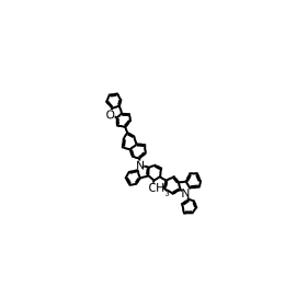 CC1c2c(n(-c3ccc4cc(-c5ccc6c(c5)oc5ccccc56)ccc4c3)c3ccccc23)C=CC1c1ccc2c(c1)c1ccccc1n2-c1ccccc1